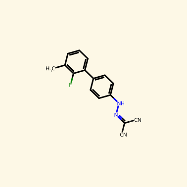 Cc1cccc(-c2ccc(NN=C(C#N)C#N)cc2)c1F